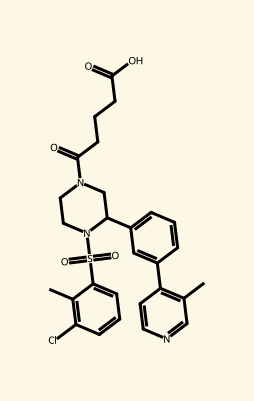 Cc1cnccc1-c1cccc(C2CN(C(=O)CCCC(=O)O)CCN2S(=O)(=O)c2cccc(Cl)c2C)c1